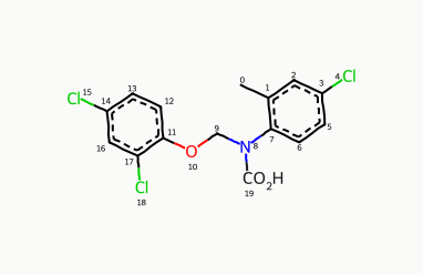 Cc1cc(Cl)ccc1N(COc1ccc(Cl)cc1Cl)C(=O)O